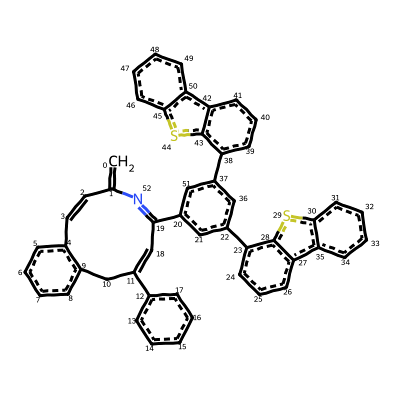 C=C1/C=C\c2ccccc2C/C(c2ccccc2)=C\C(c2cc(-c3cccc4c3sc3ccccc34)cc(-c3cccc4c3sc3ccccc34)c2)=N/1